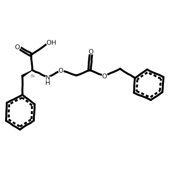 O=C(CON[C@@H](Cc1ccccc1)C(=O)O)OCc1ccccc1